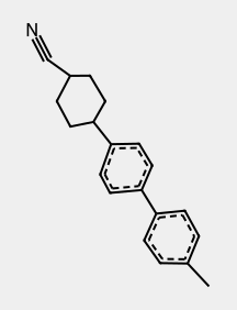 Cc1ccc(-c2ccc(C3CCC(C#N)CC3)cc2)cc1